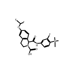 C[Si](C)(C)c1ccc(NC(=O)C2c3ccc(OC(F)F)cc3CCN2C(=O)O)cc1F